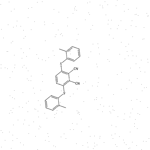 Cc1ccccc1Sc1ccc(Sc2ccccc2C)c(C#N)c1C#N